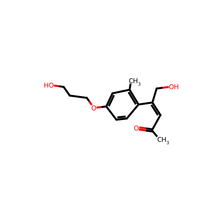 CC(=O)/C=C(/CO)c1ccc(OCCCO)cc1C